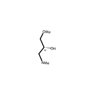 CNC[C@@H](O)COC